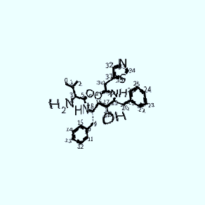 CC(C)[C@H](N)C(=O)N[C@@H](Cc1ccccc1)C[C@H](O)[C@H](Cc1ccccc1)NC(=O)Cc1cncs1